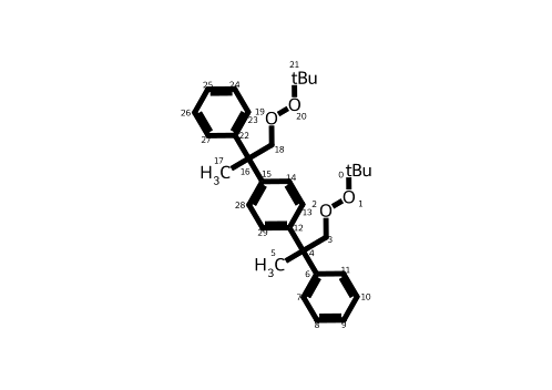 CC(C)(C)OOCC(C)(c1ccccc1)c1ccc(C(C)(COOC(C)(C)C)c2ccccc2)cc1